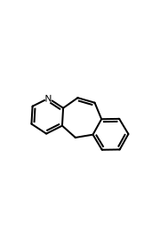 C1=Cc2ncccc2Cc2ccccc21